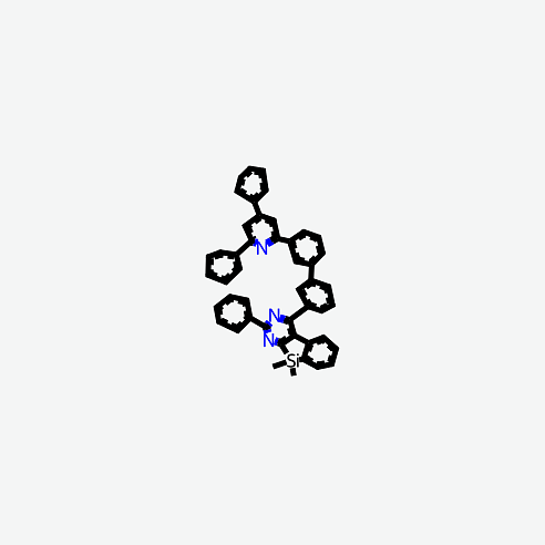 C[Si]1(C)c2ccccc2-c2c(-c3cccc(-c4cccc(-c5cc(-c6ccccc6)cc(-c6ccccc6)n5)c4)c3)nc(-c3ccccc3)nc21